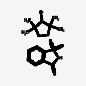 CC1(C)CCC(C)(C)N1[O].O=C1NS(=O)(=O)c2ccccc21